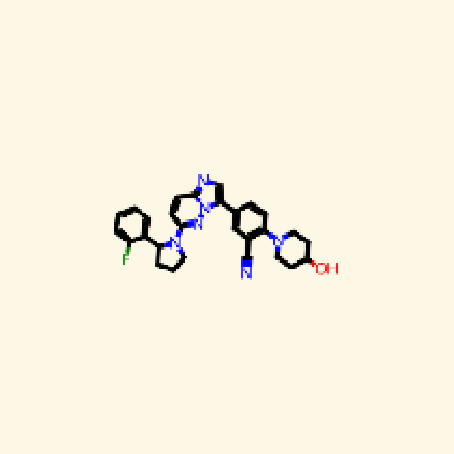 N#Cc1cc(-c2cnc3ccc(N4CCCC4c4ccccc4F)nn23)ccc1N1CCC(O)CC1